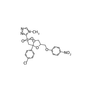 Cn1cnnc1S(=O)(=O)CC1(c2ccc(Cl)cc2)OCC(COc2ccc([N+](=O)[O-])cc2)O1